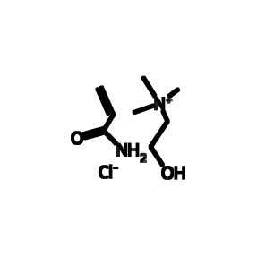 C=CC(N)=O.C[N+](C)(C)CCO.[Cl-]